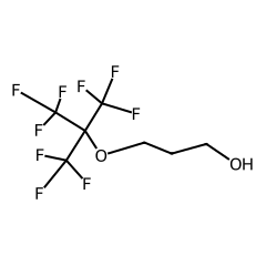 OCCCOC(C(F)(F)F)(C(F)(F)F)C(F)(F)F